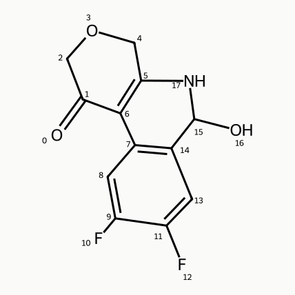 O=C1COCC2=C1c1cc(F)c(F)cc1C(O)N2